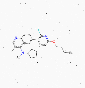 CCC(C)CCCOc1ccc(-c2ccc3ncc(C)c(N(C(C)=O)C4CCCC4)c3c2)c(F)n1